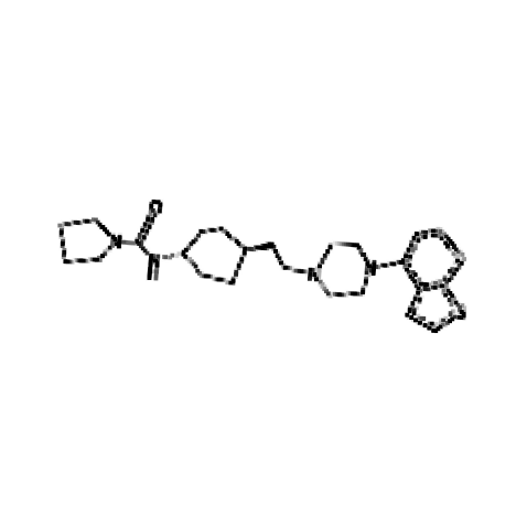 O=C(N[C@H]1CC[C@H](CCN2CCN(c3cccc4sccc34)CC2)CC1)N1CCCC1